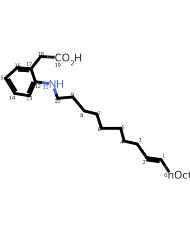 CCCCCCCC/C=C/CCCCCCCCNc1ccccc1CC(=O)O